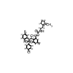 C[C@H](c1ccc(F)cc1COC(=O)NCCC1CCCN1C)N(c1cc(F)ccc1F)S(=O)(=O)c1ccc(Cl)cc1